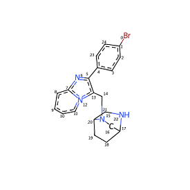 Brc1ccc(-c2nc3ccccn3c2CN2CC3CCC2CN3)cc1